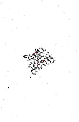 N#Cc1ccc2c(c1)c1cc(C#N)ccc1n2-c1cccc2c1Oc1c(-n3c4ccccc4c4ccccc43)cccc1C21c2cc(-n3c4ccccc4c4ccccc43)cnc2-c2ncc(-n3c4ccccc4c4ccccc43)cc21